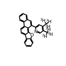 [2H]C([2H])([2H])c1cnc(-c2cc3ccccc3c3ccc4c5ccccc5oc4c23)cc1C([2H])([2H])[2H]